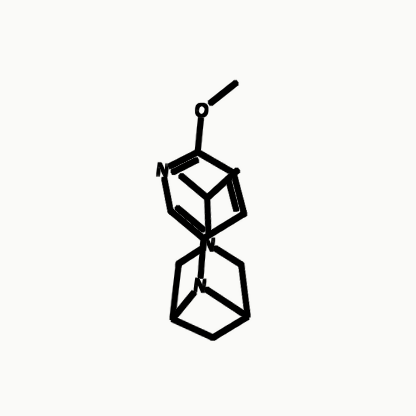 COc1ccc(N2C3CC2CN(C(C)C)C3)cn1